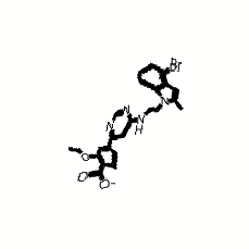 CCOc1cc(-c2cc(NCCn3c(C)cc4c(Br)cccc43)ncn2)ccc1C(=O)O